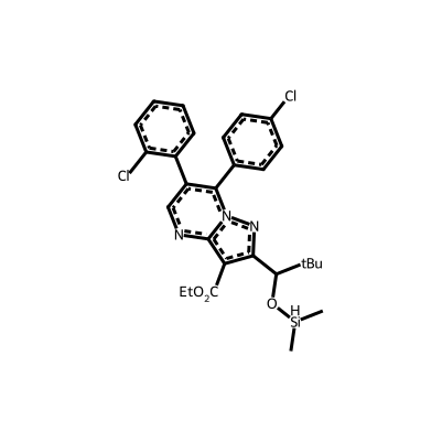 CCOC(=O)c1c(C(O[SiH](C)C)C(C)(C)C)nn2c(-c3ccc(Cl)cc3)c(-c3ccccc3Cl)cnc12